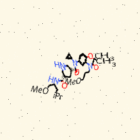 COCCCN1C(=O)C(C)(C)Oc2ccc(N(C(=O)[C@H]3CNC[C@@H](C(=O)NC(COC)CC(C)C)C3)C3CC3)cc21